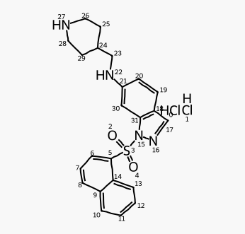 Cl.Cl.O=S(=O)(c1cccc2ccccc12)n1ncc2ccc(NCC3CCNCC3)cc21